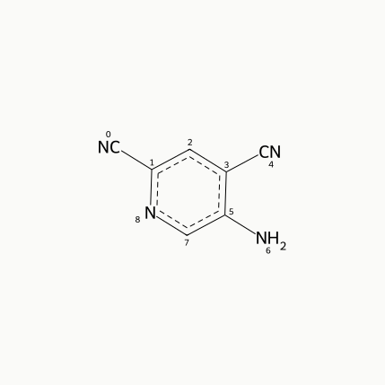 N#Cc1cc(C#N)c(N)cn1